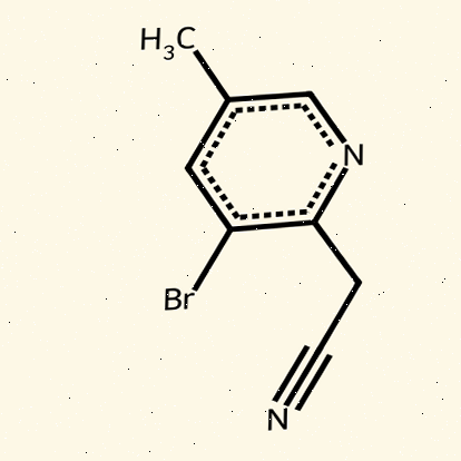 Cc1cnc(CC#N)c(Br)c1